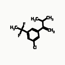 C=C(c1cc(Cl)cc(C(C)(F)F)c1)C(C)C